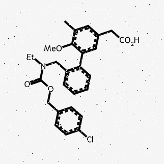 CCN(Cc1ccccc1-c1cc(CC(=O)O)cc(C)c1OC)C(=O)OCc1ccc(Cl)cc1